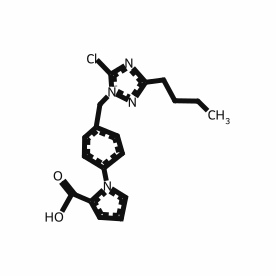 CCCCc1nc(Cl)n(Cc2ccc(-n3cccc3C(=O)O)cc2)n1